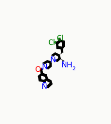 NC[C@@H]1CN(C2CCN(C(=O)c3ccc4ncccc4c3)CC2)CC[C@@H]1Cc1ccc(Cl)c(Cl)c1